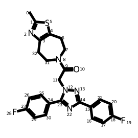 Cc1nc2c(s1)CCN(C(=O)Cn1nc(-c3ccc(F)cc3)nc1-c1ccc(F)cc1)CC2